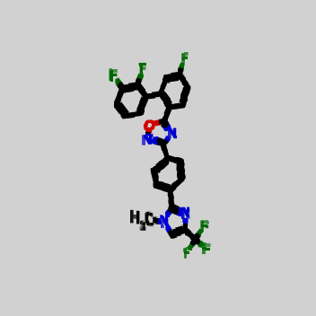 Cn1cc(C(F)(F)F)nc1-c1ccc(-c2noc(-c3ccc(F)cc3-c3cccc(F)c3F)n2)cc1